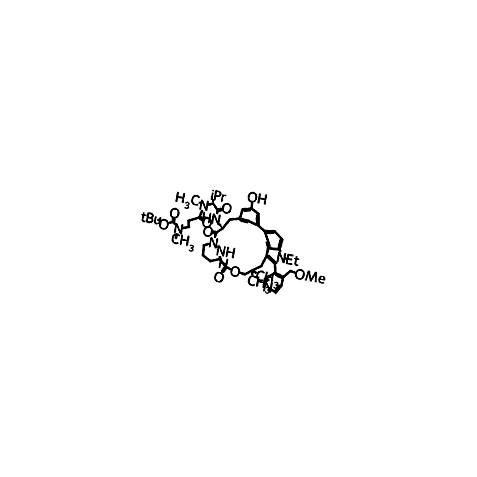 CCn1c(-c2cnccc2COC)c2c3cc(ccc31)-c1cc(O)cc(c1)C[C@H](NC(=O)[C@H](C(C)C)N(C)C(=O)CCN(C)C(=O)OC(C)(C)C)C(=O)N1CCC[C@H](N1)C(=O)OCC(C)(C)C2